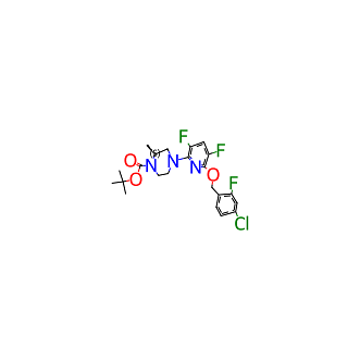 C[C@H]1CN(c2nc(OCc3ccc(Cl)cc3F)c(F)cc2F)CCN1C(=O)OC(C)(C)C